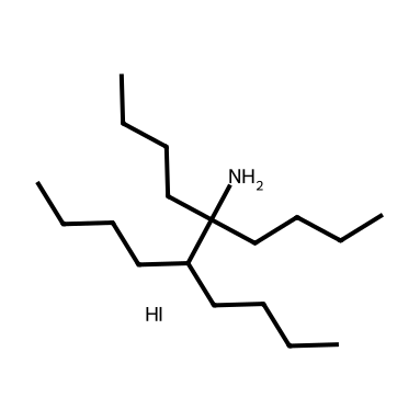 CCCCC(CCCC)C(N)(CCCC)CCCC.I